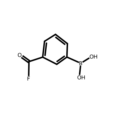 O=C(F)c1cccc(B(O)O)c1